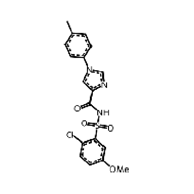 COc1ccc(Cl)c(S(=O)(=O)NC(=O)c2cn(-c3ccc(C)cc3)cn2)c1